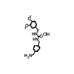 COc1ccc(CNC(=O)NCc2ccc(CN)cc2)cc1OC.Cl